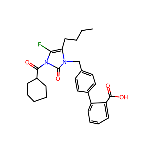 CCCCc1c(F)n(C(=O)C2CCCCC2)c(=O)n1Cc1ccc(-c2ccccc2C(=O)O)cc1